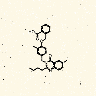 CCCCc1nc2ccc(C)cc2c(=O)n1Cc1ccc(OCc2ccccc2C(=O)O)c(C)c1